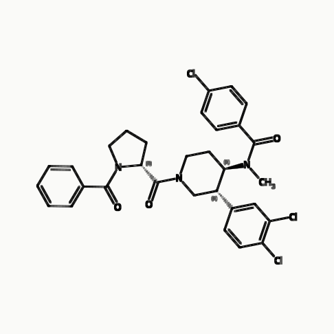 CN(C(=O)c1ccc(Cl)cc1)[C@@H]1CCN(C(=O)[C@H]2CCCN2C(=O)c2ccccc2)C[C@H]1c1ccc(Cl)c(Cl)c1